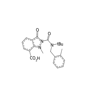 Cc1ccccc1CN(C(=O)n1c(=O)c2cccc(C(=O)O)c2n1C)C(C)(C)C